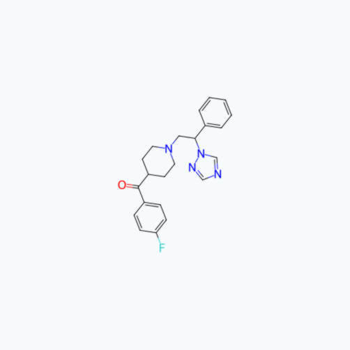 O=C(c1ccc(F)cc1)C1CCN(CC(c2ccccc2)n2cncn2)CC1